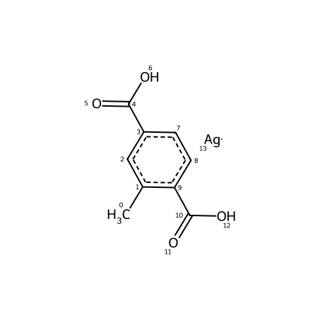 Cc1cc(C(=O)O)ccc1C(=O)O.[Ag]